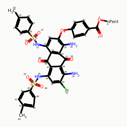 CCCCCOC(=O)c1ccc(Oc2cc(NS(=O)(=O)c3ccc(C)cc3)c3c(c2N)C(=O)c2c(N)c(Br)cc(NS(=O)(=O)c4ccc(C)cc4)c2C3=O)cc1